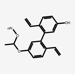 C=Cc1ccc(O)cc1-c1cc(OC(C)OCCC)ccc1C=C